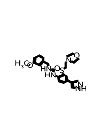 COc1cccc(CNC(=O)Nc2ccc(-c3cn[nH]c3)cc2SCCN2CCOCC2)c1